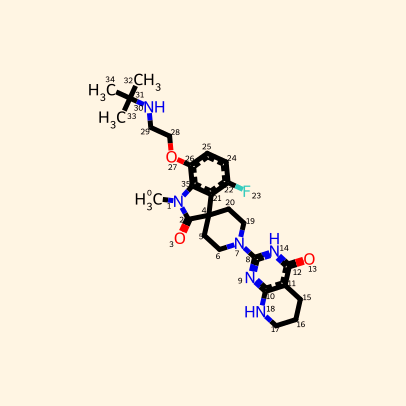 CN1C(=O)C2(CCN(c3nc4c(c(=O)[nH]3)CCCN4)CC2)c2c(F)ccc(OCCNC(C)(C)C)c21